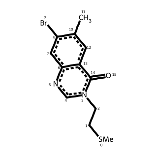 CSCCn1cnc2cc(Br)c(C)cc2c1=O